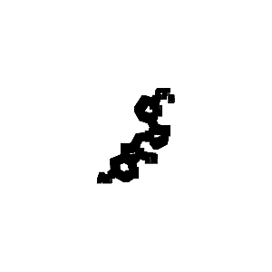 CCn1c(Cn2ccnc2-c2cccc(C(F)(F)F)n2)nc2cc(C(C)=O)cnc21